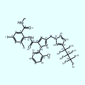 CNC(=O)c1cc(I)cc(C)c1NC(=O)c1cc(Cn2nnc(C(F)(F)C(F)(F)C(F)(F)F)n2)nn1-c1ncccc1Cl